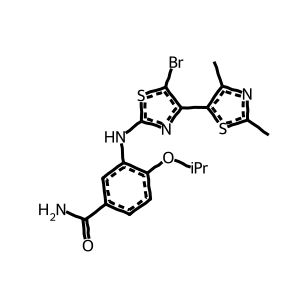 Cc1nc(C)c(-c2nc(Nc3cc(C(N)=O)ccc3OC(C)C)sc2Br)s1